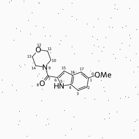 COc1ccc2[nH]c(C(=O)N3CCOCC3)cc2c1